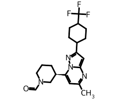 Cc1cc([C@@H]2CCCN(C=O)C2)n2nc(C3CCC(C(F)(F)F)CC3)cc2n1